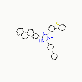 c1ccc(-c2ccc(C3NC(c4ccc5sc6ccccc6c5c4)=NC(c4ccc5c(ccc6c7ccccc7ccc56)c4)N3)cc2)cc1